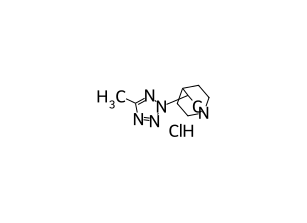 Cc1nnn(C2CN3CCC2CC3)n1.Cl